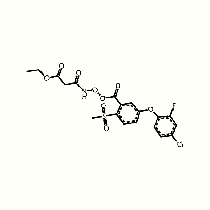 CCOC(=O)CC(=O)NOOC(=O)c1cc(Oc2ccc(Cl)cc2F)ccc1S(C)(=O)=O